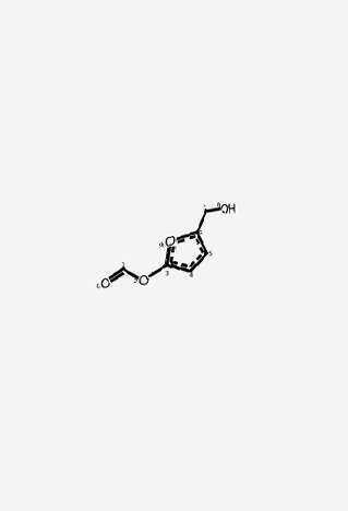 O=COc1ccc(CO)o1